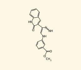 COC(=O)c1cccc(N/C=C(\N=N)c2cc3ccccc3[nH]c2=O)c1